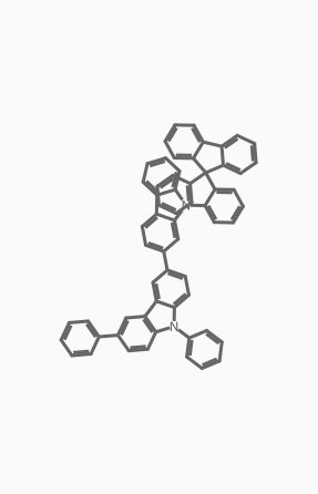 c1ccc(-c2ccc3c(c2)c2cc(-c4ccc5c6ccccc6n(-c6ccccc6C6(c7ccccc7)c7ccccc7-c7ccccc76)c5c4)ccc2n3-c2ccccc2)cc1